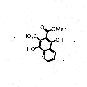 COC(=O)c1c(C(=O)O)c(O)c2ncccc2c1O